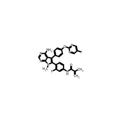 C=C(C)C(=O)Nc1ccc(-c2c(-c3ccc(Oc4ncc(F)cn4)cc3)c3c(N)ncnc3n2C)c(F)c1